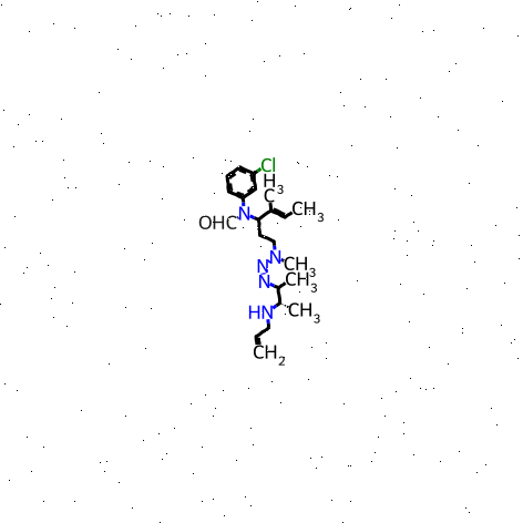 C=CCN[C@@H](C)C(C)/N=N\N(C)CCC(/C(C)=C/C)N(C=O)c1cccc(Cl)c1